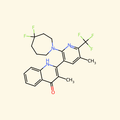 Cc1cc(-c2[nH]c3ccccc3c(=O)c2C)c(N2CCCC(F)(F)CC2)nc1C(F)(F)F